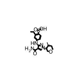 CC1OB(O)c2ccc(Nc3nn([C@H]4COCC[C@@H]4C)cc3C(N)=O)cc21